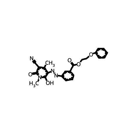 Cc1c(N=Nc2cccc(C(=O)OCCOc3ccccc3)c2)c(O)n(C)c(=O)c1C#N